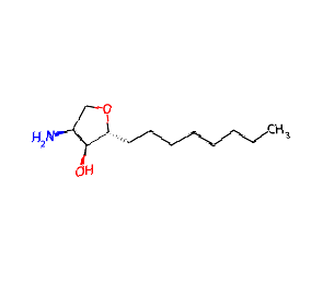 CCCCCCCC[C@H]1OC[C@H](N)[C@@H]1O